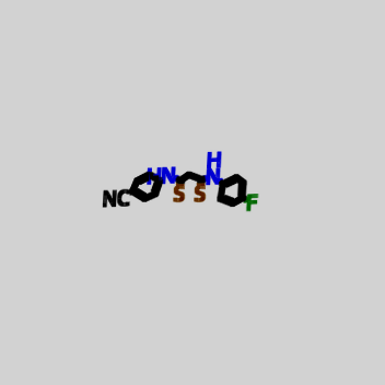 N#Cc1ccc(NC(=S)CC(=S)Nc2ccc(F)cc2)cc1